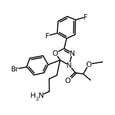 COC(C)C(=O)N1N=C(c2cc(F)ccc2F)OC1(CCCN)c1ccc(Br)cc1